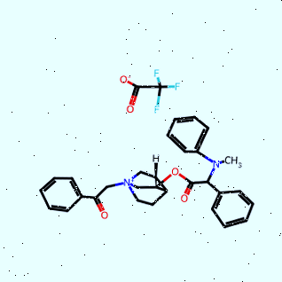 CN(c1ccccc1)C(C(=O)O[C@H]1C[N+]2(CC(=O)c3ccccc3)CCC1CC2)c1ccccc1.O=C([O-])C(F)(F)F